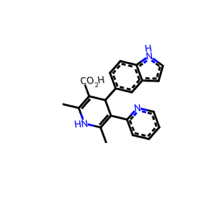 CC1=C(C(=O)O)C(c2ccc3[nH]ccc3c2)C(c2ccccn2)=C(C)N1